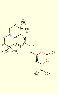 CC(C)(C)C1=CC(C(C#N)C#N)C=C(/C=C/c2cc3c4c(c2)C(C)(C)CCN4CCC3(C)C)O1